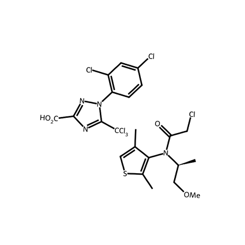 COC[C@H](C)N(C(=O)CCl)c1c(C)csc1C.O=C(O)c1nc(C(Cl)(Cl)Cl)n(-c2ccc(Cl)cc2Cl)n1